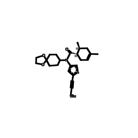 CC1=CC[C@H](C(=O)N(c2csc(C#CC(C)(C)C)c2)C2CCC3(CC2)OCCO3)[C@@H](C)C1